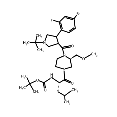 COC[C@H]1CN(C(=O)[C@H](CC(C)C)NC(=O)OC(C)(C)C)CCN1C(=O)C1CN(C(C)(C)C)CC1c1ccc(Br)cc1F